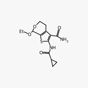 CCOC1OCCc2c1sc(NC(=O)C1CC1)c2C(N)=O